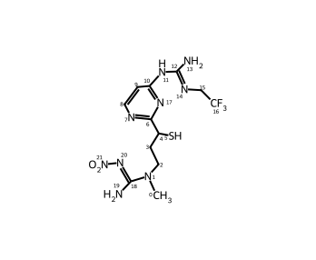 CN(CCC(S)c1nccc(NC(N)=NCC(F)(F)F)n1)C(N)=N[N+](=O)[O-]